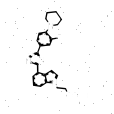 CCc1cc(-c2nc(-c3cccc4c3ccn4CCC(=O)O)no2)ccc1N1CCCCC1